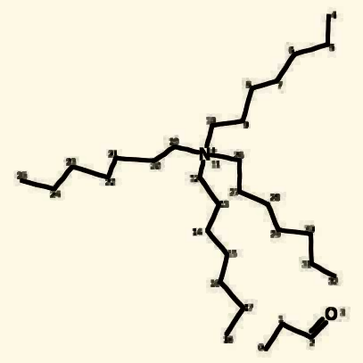 CCC=O.CCCCCCC[N+](CCCCCCC)(CCCCCCC)CCCCCCC